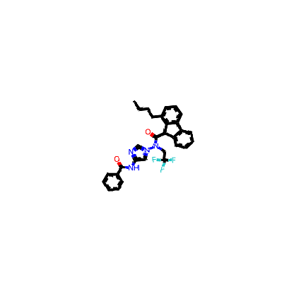 CCCCc1cccc2c1C(C(=O)N(CC(F)(F)F)n1cnc(NC(=O)c3ccccc3)c1)c1ccccc1-2